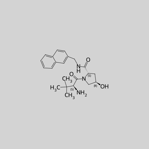 CC(C)(C)[C@H](N)C(=O)N1C[C@H](O)C[C@H]1C(=O)NCc1ccc2ccccc2c1